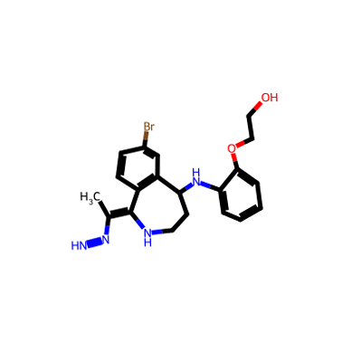 C/C(N=N)=C1/NCCC(Nc2ccccc2OCCO)c2cc(Br)ccc21